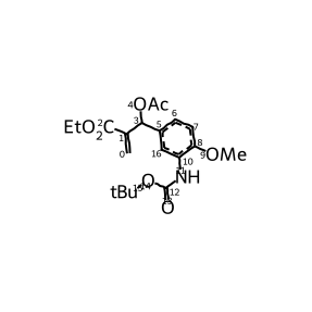 C=C(C(=O)OCC)C(OC(C)=O)c1ccc(OC)c(NC(=O)OC(C)(C)C)c1